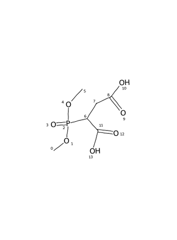 COP(=O)(OC)C(CC(=O)O)C(=O)O